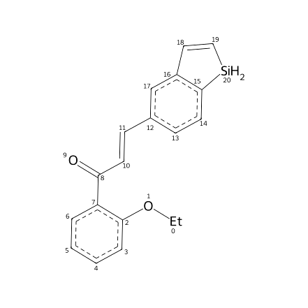 CCOc1ccccc1C(=O)/C=C/c1ccc2c(c1)C=C[SiH2]2